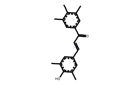 Cc1cc(C(=O)/C=C/c2cc(C)c(O)c(C)c2)cc(C)c1C